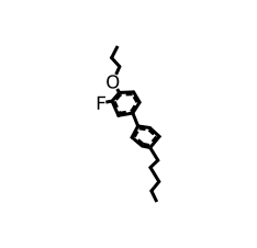 CCCCCc1ccc(-c2ccc(OCCC)c(F)c2)cc1